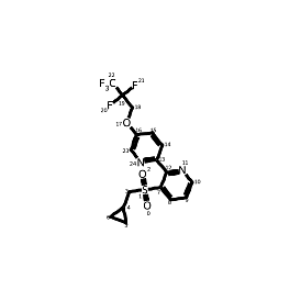 O=S(=O)(CC1CC1)c1cccnc1-c1ccc(OCC(F)(F)C(F)(F)F)cn1